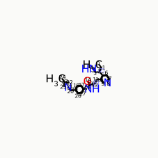 C/C=C(\C=N)c1ccncc1/C=C/C(=O)Nc1ccc(CN2CC(C)C2)cc1